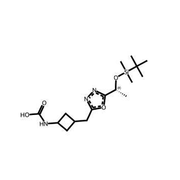 C[C@@H](O[Si](C)(C)C(C)(C)C)c1nnc(CC2CC(NC(=O)O)C2)o1